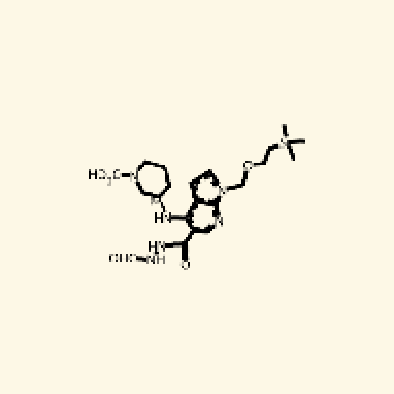 C[Si](C)(C)CCOCn1ccc2c(N[C@@H]3CCCN(C(=O)O)C3)c(C(=O)NNC=O)cnc21